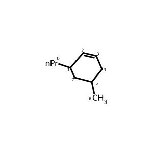 C[CH]CC1C=CCC(C)C1